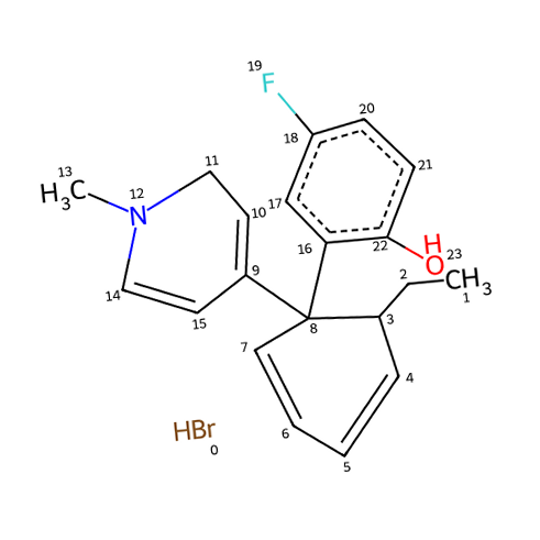 Br.CCC1C=CC=CC1(C1=CCN(C)C=C1)c1cc(F)ccc1O